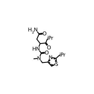 CC(C)C(=O)C(CC(N)=O)NC(=O)N(C)Cc1csc(C(C)C)n1